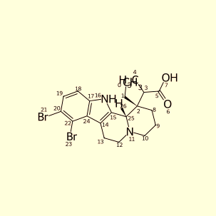 CC[C@@]1(C(C)C(=O)O)CCCN2CCc3c([nH]c4ccc(Br)c(Br)c34)[C@@H]21